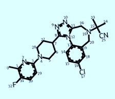 Cc1nc(N2CCC(c3nnc4n3-c3ccc(Cl)cc3CN(C(C)(C)C#N)C4)CC2)ccc1F